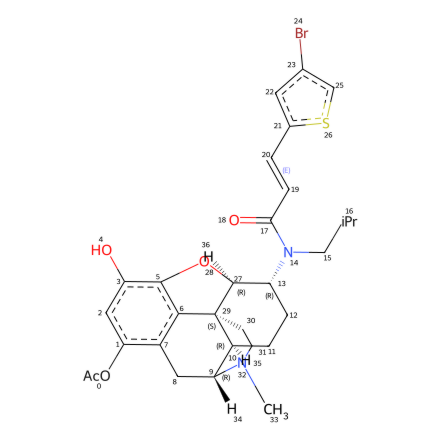 CC(=O)Oc1cc(O)c2c3c1C[C@@H]1[C@@H]4CC[C@@H](N(CC(C)C)C(=O)/C=C/c5cc(Br)cs5)[C@H](O2)[C@]34CCN1C